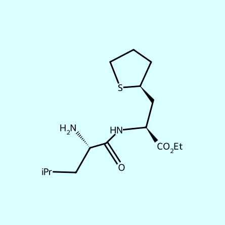 CCOC(=O)[C@H](C[C@@H]1CCCS1)NC(=O)[C@@H](N)CC(C)C